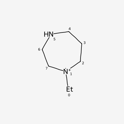 CC[N+]1CCCNCC1